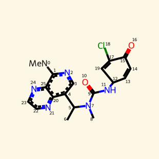 CNc1ncc(C(C)N(C)C(=O)NC2C=CC(=O)C(Cl)=C2)c2nccnc12